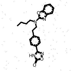 CCCCN(CCc1ccc(-c2noc(=O)[nH]2)cc1)c1nc2ccccc2o1